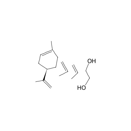 C=C(C)[C@H]1CC=C(C)CC1.C=CC.C=CC.OCCO